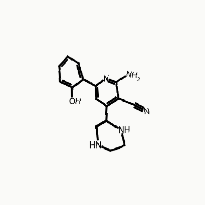 N#Cc1c(C2CNCCN2)cc(-c2ccccc2O)nc1N